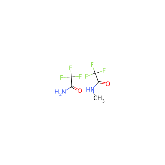 CNC(=O)C(F)(F)F.NC(=O)C(F)(F)F